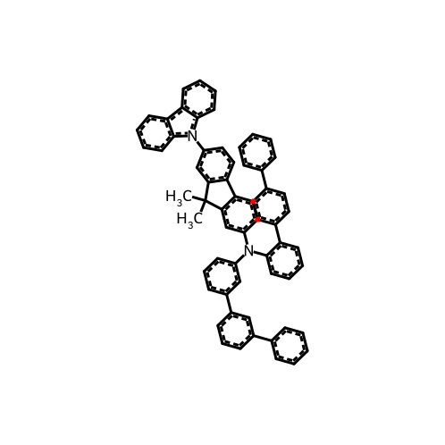 CC1(C)c2cc(N(c3cccc(-c4cccc(-c5ccccc5)c4)c3)c3ccccc3-c3ccc(-c4ccccc4)cc3)ccc2-c2ccc(-n3c4ccccc4c4ccccc43)cc21